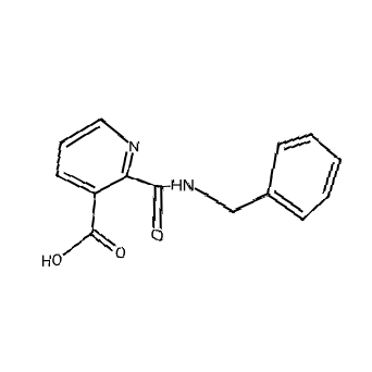 O=C(O)c1cccnc1C(=O)NCc1ccccc1